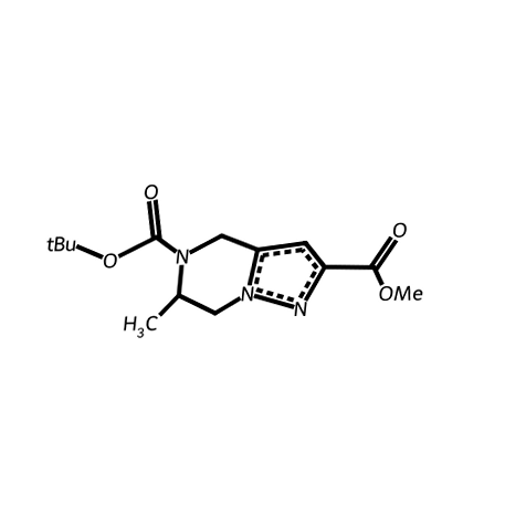 COC(=O)c1cc2n(n1)CC(C)N(C(=O)OC(C)(C)C)C2